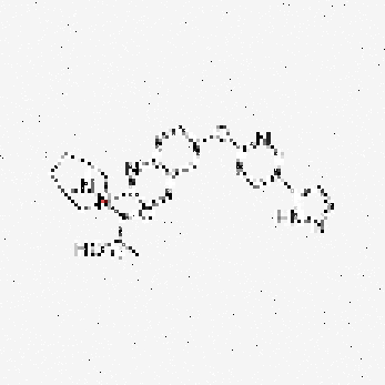 C[C@@H](O)C(=O)N1CC2CCC(C1)N2Cc1ccc2cc(Oc3ccc(-c4ccn[nH]4)cn3)ccc2n1